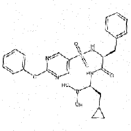 O=C(N[C@@H](CC1CC1)B(O)O)[C@H](Cc1ccccc1)NS(=O)(=O)c1cnc(Oc2ccccc2)nc1